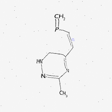 C=P/C=C\C1=NC(C)=NNC1